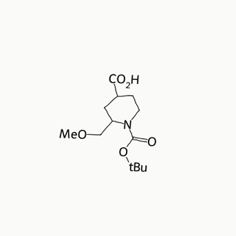 COCC1CC(C(=O)O)CCN1C(=O)OC(C)(C)C